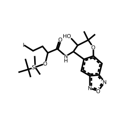 CC1(C)Oc2cc3nonc3cc2C(NC(=O)C(CCI)O[Si](C)(C)C(C)(C)C)C1O